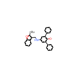 CCCCc1oc2ccccc2c1CNc1cc(-c2ccccc2)c([O])c(-c2ccccc2)c1